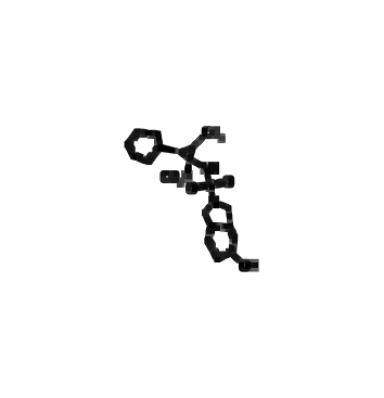 CC1[C@H](c2ccccc2)[C@]1(NS(=O)(=O)N1Cc2ccc(O)cc2C1)C(=O)O